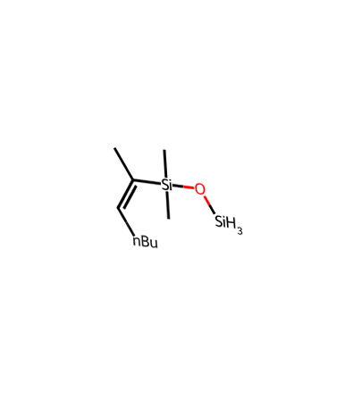 CCCCC=C(C)[Si](C)(C)O[SiH3]